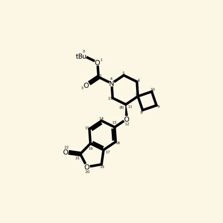 CC(C)(C)OC(=O)N1CCC2(CCC2)[C@@H](Oc2ccc3c(c2)COC3=O)C1